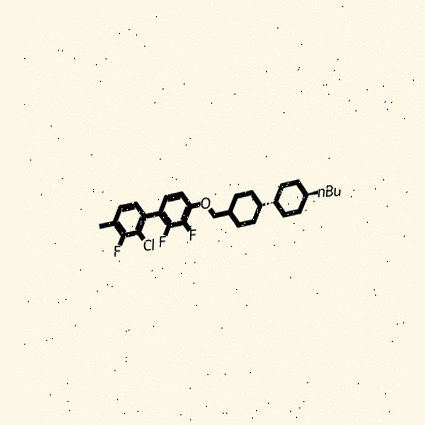 CCCC[C@H]1CC[C@H](C2CCC(COc3ccc(-c4ccc(C)c(F)c4Cl)c(F)c3F)CC2)CC1